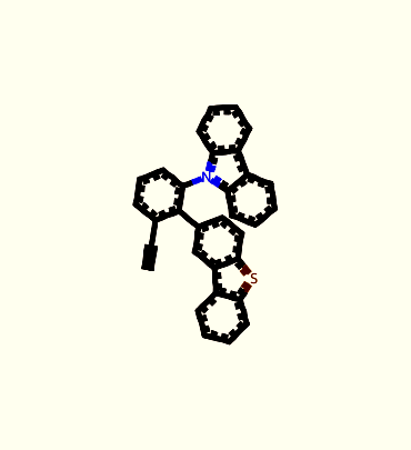 C#Cc1cccc(-n2c3ccccc3c3ccccc32)c1-c1ccc2sc3ccccc3c2c1